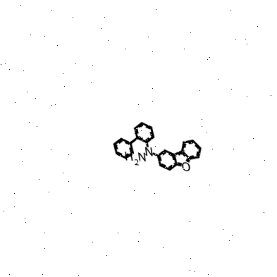 NN(c1ccc2oc3ccccc3c2c1)c1ccccc1-c1ccccc1